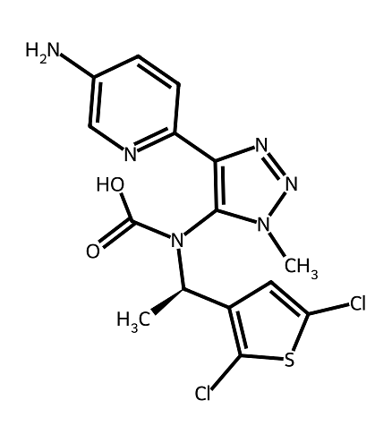 C[C@H](c1cc(Cl)sc1Cl)N(C(=O)O)c1c(-c2ccc(N)cn2)nnn1C